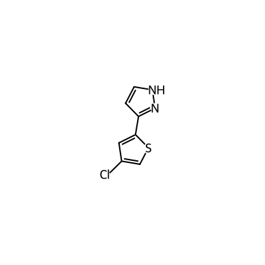 Clc1csc(-c2cc[nH]n2)c1